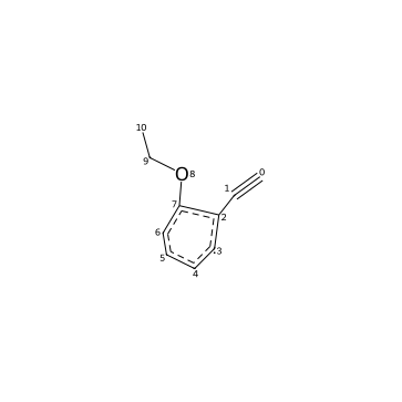 C#Cc1[c]cccc1OCC